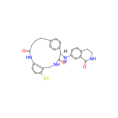 O=C1CCCc2ccc(cc2)[C@@H](Nc2ccc3c(c2)C(=O)NCC3)C(=O)NCc2cc(ccc2S)N1